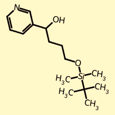 CC(C)(C)[Si](C)(C)OCCCC(O)c1cccnc1